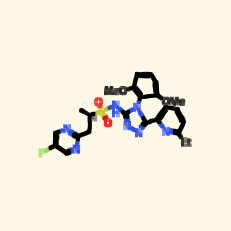 CCc1cccc(-c2nnc(NS(=O)(=O)[C@H](C)Cc3ncc(F)cn3)n2-c2c(OC)cccc2OC)n1